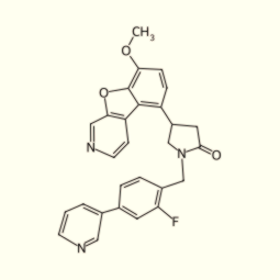 COc1ccc(C2CC(=O)N(Cc3ccc(-c4cccnc4)cc3F)C2)c2c1oc1cnccc12